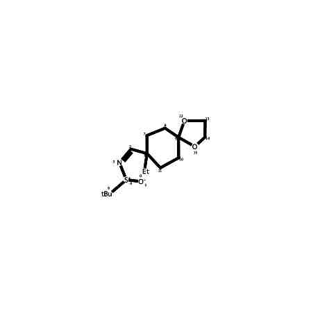 CCC1(/C=N\[S+]([O-])C(C)(C)C)CCC2(CC1)OCCO2